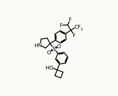 O=S(=O)(c1cccc(C2(O)CCC2)c1)C1(c2ccc(C(F)(C(F)F)C(F)(F)F)cc2)CCNC1